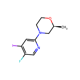 C[C@H]1CN(c2cc(I)c(F)cn2)CCO1